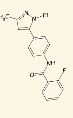 CCn1nc(C)cc1-c1ccc(NC(=O)c2ccccc2F)cc1